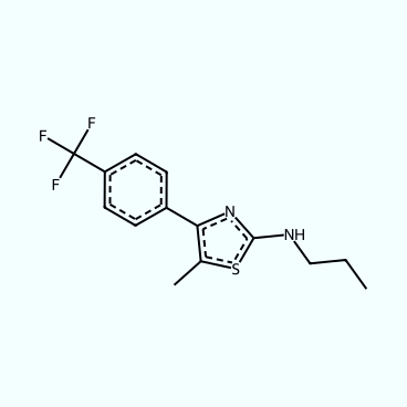 CCCNc1nc(-c2ccc(C(F)(F)F)cc2)c(C)s1